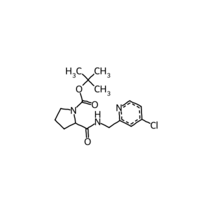 CC(C)(C)OC(=O)N1CCCC1C(=O)NCc1cc(Cl)ccn1